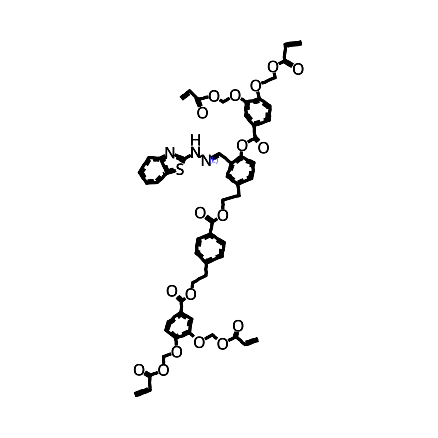 C=CC(=O)OCOc1ccc(C(=O)OCCc2ccc(C(=O)OCCc3ccc(OC(=O)c4ccc(OCOC(=O)C=C)c(OCOC(=O)C=C)c4)c(/C=N/Nc4nc5ccccc5s4)c3)cc2)cc1OCOC(=O)C=C